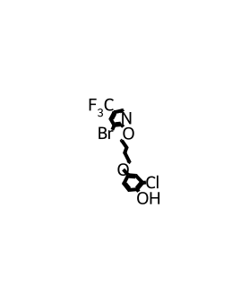 Oc1ccc(OCCCCOc2ncc(C(F)(F)F)cc2Br)cc1Cl